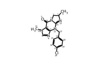 CC1CN2C(=O)c3c(ncn3C)N(Cc3ccc(Cl)cc3)C2=N1